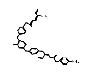 C=C/C(=C\C=C(/C)Cc1ccc(N)cc1)Cc1ccc(Cc2ccc(CC3=CC=C(C/C(C)=C/C=C(/N)C=C)CC3)c(C)c2)cc1